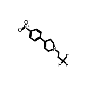 O=[N+]([O-])c1ccc(C2=CCN(CCC(F)(F)F)CC2)cc1